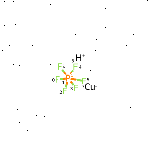 F[P-](F)(F)(F)(F)F.[Cu].[H+]